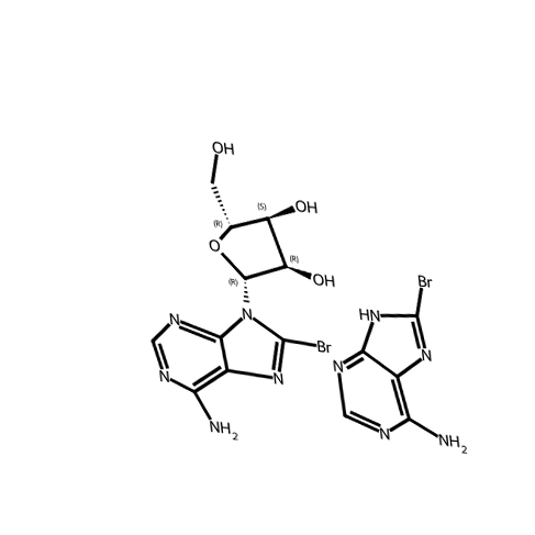 Nc1ncnc2[nH]c(Br)nc12.Nc1ncnc2c1nc(Br)n2[C@@H]1O[C@H](CO)[C@@H](O)[C@H]1O